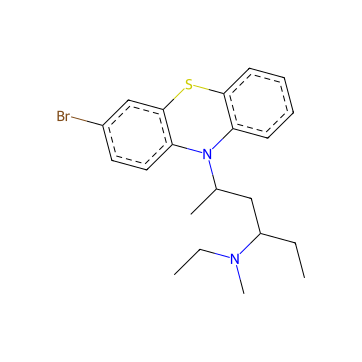 CCC(CC(C)N1c2ccccc2Sc2cc(Br)ccc21)N(C)CC